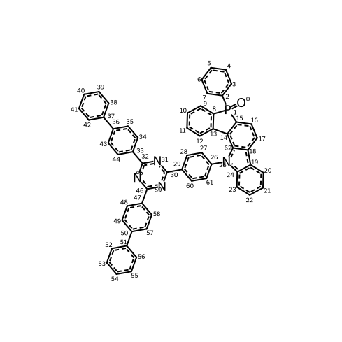 O=P1(c2ccccc2)c2ccccc2-c2c1ccc1c3ccccc3n(-c3ccc(-c4nc(-c5ccc(-c6ccccc6)cc5)nc(-c5ccc(-c6ccccc6)cc5)n4)cc3)c21